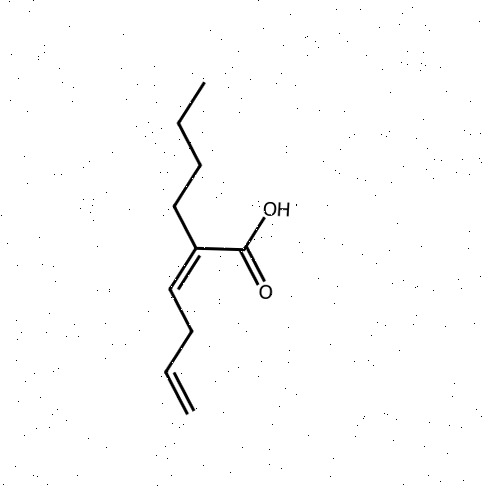 C=CC/C=C(/CCCC)C(=O)O